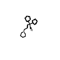 N#CC(C=CCN1CCCCC1)(c1ccccc1)c1ccccc1